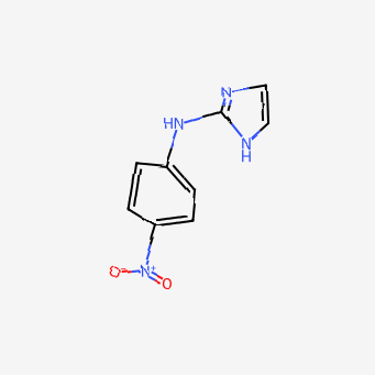 O=[N+]([O-])c1ccc(Nc2ncc[nH]2)cc1